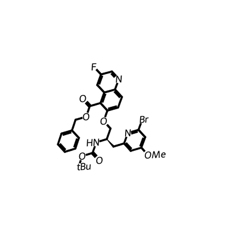 COc1cc(Br)nc(C[C@H](COc2ccc3ncc(F)cc3c2C(=O)OCc2ccccc2)NC(=O)OC(C)(C)C)c1